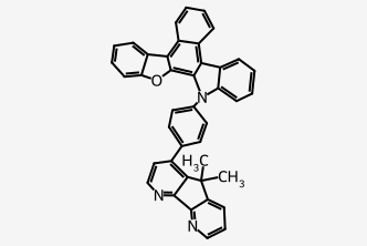 CC1(C)c2cccnc2-c2nccc(-c3ccc(-n4c5ccccc5c5c6ccccc6c6c7ccccc7oc6c54)cc3)c21